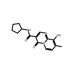 Cc1ccn2c(=O)c(C(=O)NC3CCCC3)cnc2c1O